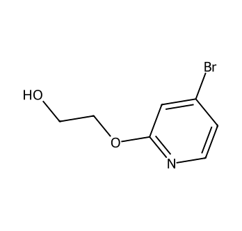 OCCOc1cc(Br)ccn1